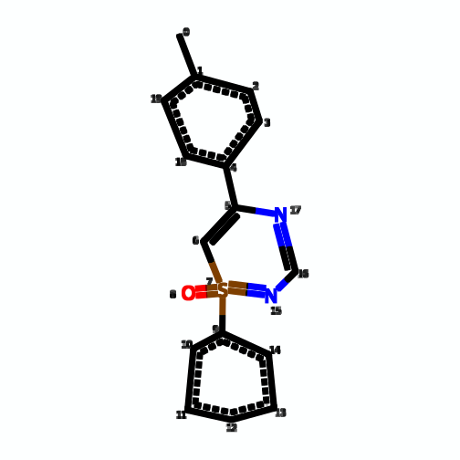 Cc1ccc(C2=CS(=O)(c3ccccc3)=NC=N2)cc1